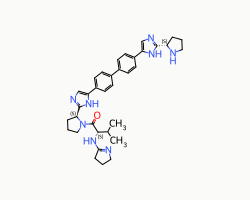 CC(C)[C@H](NC1=NCCC1)C(=O)N1CCC[C@H]1c1ncc(-c2ccc(-c3ccc(-c4cnc([C@@H]5CCCN5)[nH]4)cc3)cc2)[nH]1